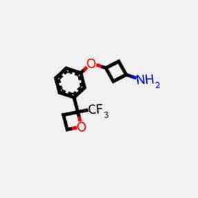 NC1CC(Oc2cccc(C3(C(F)(F)F)CCO3)c2)C1